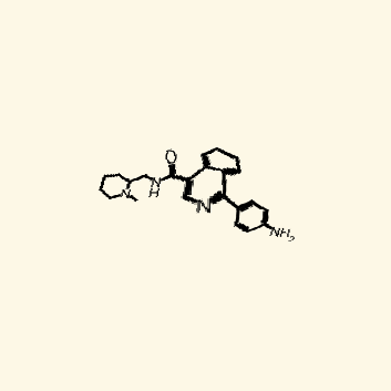 CN1CCCCC1CNC(=O)c1cnc(-c2ccc(N)cc2)c2ccccc12